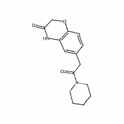 O=C1COc2ccc(CC(=O)N3CCCCC3)cc2N1